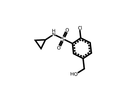 O=S(=O)(NC1CC1)c1cc(CO)ccc1Cl